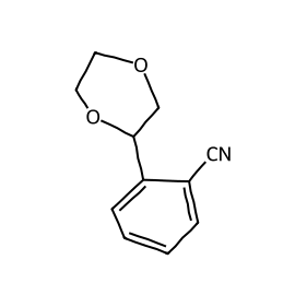 N#Cc1ccccc1C1COCCO1